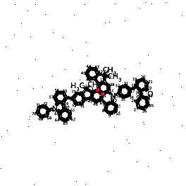 CC1(C)c2ccc(-c3ccccc3N(c3ccc(-c4cccc5oc6ccccc6c45)cc3)c3ccc4c(c3)C(C)(C)c3ccccc3-4)cc2-c2ccc(-c3cccc4c3c3ccccc3n4-c3ccccc3)cc21